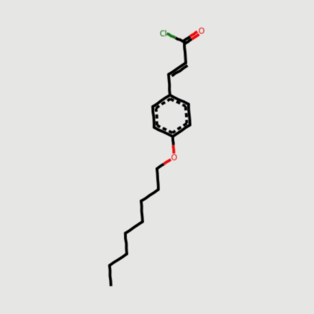 CCCCCCCCOc1ccc(C=CC(=O)Cl)cc1